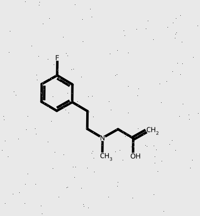 C=C(O)CN(C)CCc1cccc(F)c1